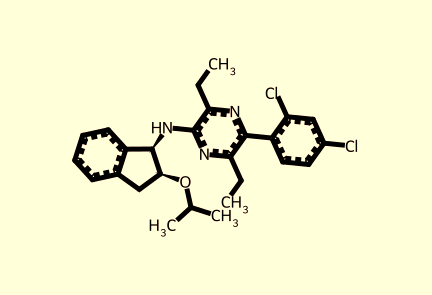 CCc1nc(-c2ccc(Cl)cc2Cl)c(CC)nc1N[C@@H]1c2ccccc2C[C@@H]1OC(C)C